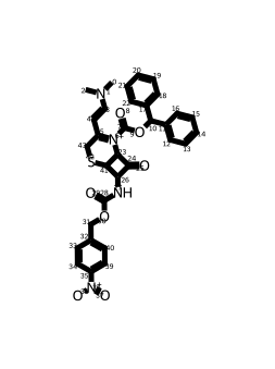 CN(C)C=CC1=[N+](C(=O)OC(c2ccccc2)c2ccccc2)C2C(=O)C(NC(=O)OCc3ccc([N+](=O)[O-])cc3)C2SC1